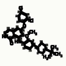 COc1cc(N2CCN(C(C)(C)C)CC2)ccc1Nc1nc(Oc2ccc(Cl)cc2Cl)cc2cn[nH]c(=O)c12